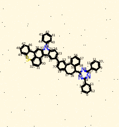 c1ccc(-c2nc(-c3ccccc3)nc(C3CCc4ccc(-c5ccc6c(c5)c5c7cccc8c7c(cc5n6-c5ccccc5)-c5ccccc5S8)cc4-c4ccccc43)n2)cc1